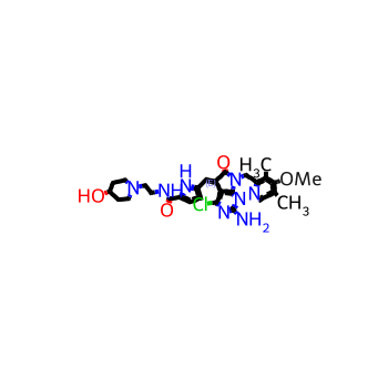 COc1c(C)cnc(CN2C(=O)/C(=C/c3ccc(C(=O)NCCN4CCC(O)CC4)[nH]3)c3c(Cl)nc(N)nc32)c1C